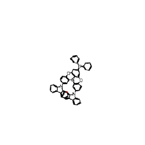 c1ccc(N(c2ccccc2)c2cc3c4c(c2)Oc2ccc(-n5c6ccccc6c6ccccc65)cc2B4c2cc(-n4c5ccccc5c5ccccc54)ccc2O3)cc1